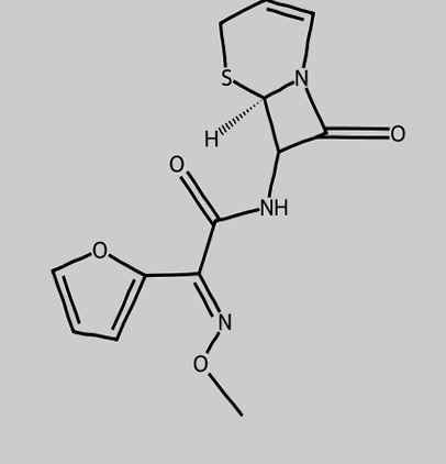 CON=C(C(=O)NC1C(=O)N2C=CCS[C@H]12)c1ccco1